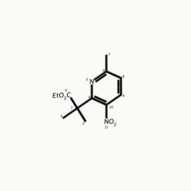 CCOC(=O)C(C)(C)c1nc(C)ccc1[N+](=O)[O-]